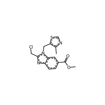 COC(=O)c1ccc2nc(CCl)n(Cc3scnc3C)c2c1